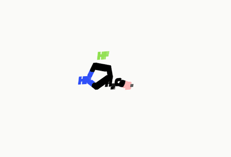 F.[B]=C.c1cc[nH]c1